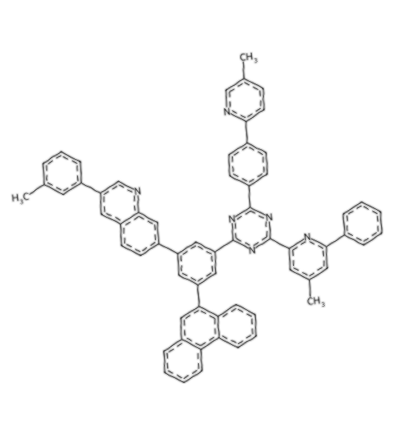 Cc1ccc(-c2ccc(-c3nc(-c4cc(-c5ccc6cc(-c7cccc(C)c7)cnc6c5)cc(-c5cc6ccccc6c6ccccc56)c4)nc(-c4cc(C)cc(-c5ccccc5)n4)n3)cc2)nc1